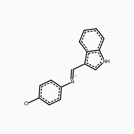 Clc1ccc(/N=C/c2c[nH]c3ccccc23)cc1